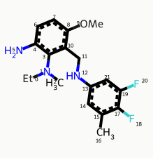 CCN(C)c1c(N)ccc(OC)c1CNc1cc(C)c(F)c(F)c1